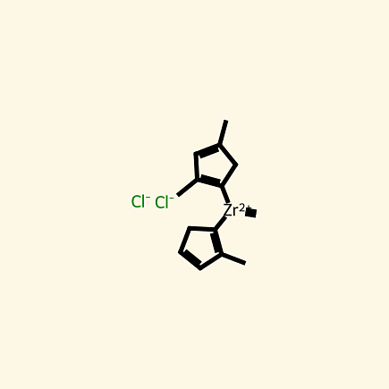 [CH2]=[Zr+2]([C]1=C(C)C=CC1)[C]1=C(C)C=C(C)C1.[Cl-].[Cl-]